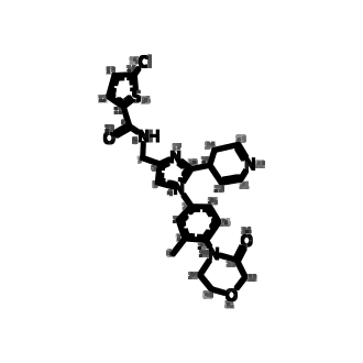 Cc1cc(-n2cc(CNC(=O)c3ccc(Cl)s3)nc2C2C=CN=CC2)ccc1N1CCOCC1=O